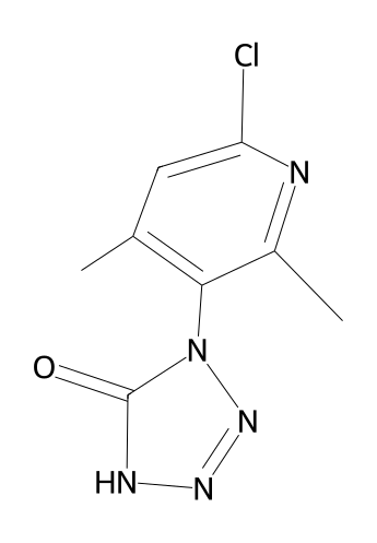 Cc1cc(Cl)nc(C)c1-n1nn[nH]c1=O